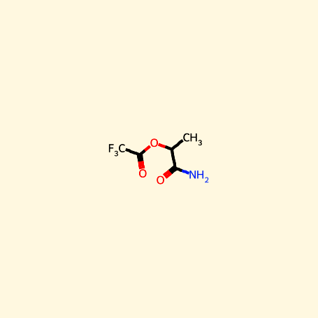 CC(OC(=O)C(F)(F)F)C(N)=O